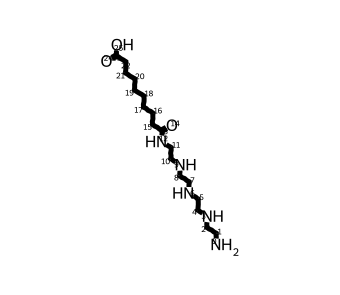 NCCNCCNCCNCCNC(=O)CCCCCCCCC(=O)O